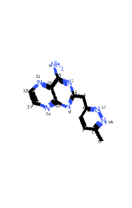 Cc1ccc(Cc2nc(N)c3nccnc3n2)nn1